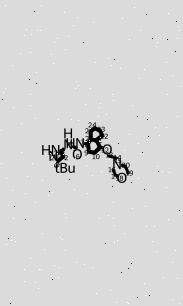 CC(C)(C)c1cc(NC(=O)Nc2ccc(OCCN3CCOCC3)c3ccccc23)[nH]n1